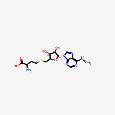 CNc1ncnc2c1ncn2[C@@H]1OC(CSCCC(N)C(=O)O)[C@@H](O)[C@H]1O